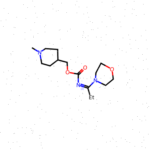 CC/C(=N/C(=O)OCC1CCN(C)CC1)N1CCOCC1